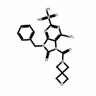 CCCS(=N)(=O)c1nc(N)c2c(n1)n(Cc1ccccc1)c(=O)n2C(=O)N1CC2(COC2)C1